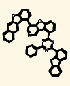 c1ccc(-c2nc(-c3cccc4c3sc3ccccc34)nc(-c3cccc4oc5c(-c6cccc7oc8cc9ccccc9cc8c67)cncc5c34)n2)cc1